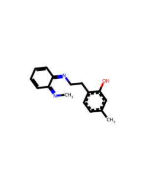 C/N=C1/C=CC=C/C1=N/CCc1ccc(C)cc1O